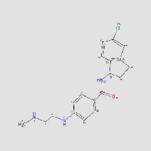 CNCCNc1ccc(C(=O)NC2CCc3cc(Cl)ccc32)cc1